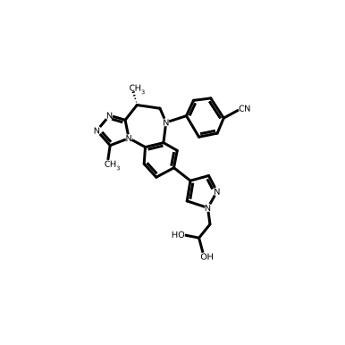 Cc1nnc2n1-c1ccc(-c3cnn(CC(O)O)c3)cc1N(c1ccc(C#N)cc1)C[C@H]2C